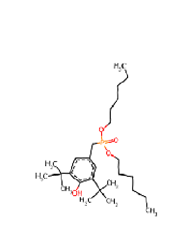 CCCCCCOP(=O)(Cc1cc(C(C)(C)C)c(O)c(C(C)(C)C)c1)OCCCCCC